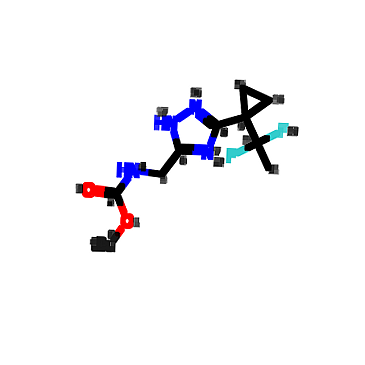 CC(C)(C)OC(=O)NCc1nc(C2(C(C)(F)F)CC2)n[nH]1